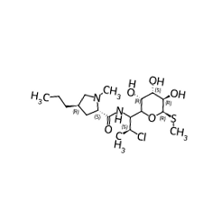 CCC[C@@H]1C[C@@H](C(=O)NC(C2O[C@H](SC)[C@H](O)[C@@H](O)[C@H]2O)[C@H](C)Cl)N(C)C1